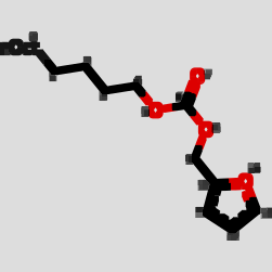 CCCCCCCCCCCCOC(=O)OCc1ccco1